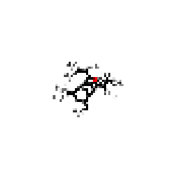 CCC1CC(C(C)C)C2CC1C1C(C(C)C(C)C)CC(C(C)C(C)C)C2C1CO